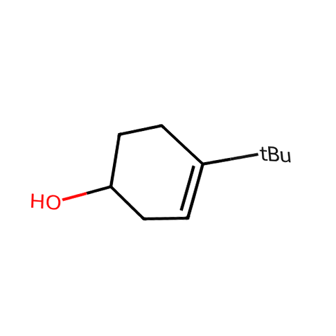 CC(C)(C)C1=CCC(O)CC1